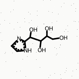 OCC(O)C(O)C(O)c1ncc[nH]1